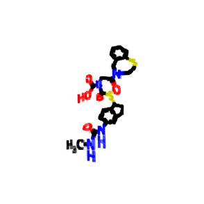 CNC(=O)Nc1ccc2c(c1)CCC2SC(=O)N(CC(=O)N1CCSc2ccccc2C1)C(=O)O